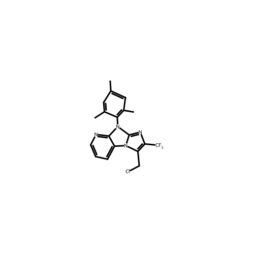 Cc1cc(C)c(-n2c3ncccc3n3c(CCl)c(C(F)(F)F)nc23)c(C)c1